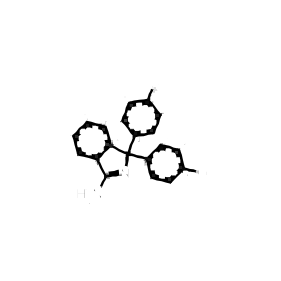 NC1=NC(c2ccc(O)cc2)(c2ccc(O)cc2)c2ccccc21